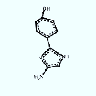 Nc1n[nH]c(-c2ccc(O)cc2)n1